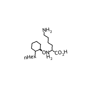 CCCCCCC1CCCCC1=O.NCCCC[C@H](N)C(=O)O